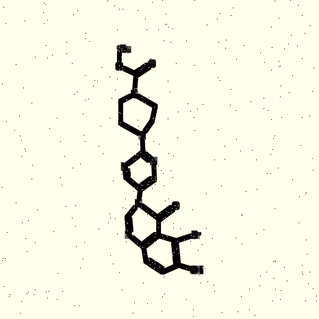 CC(C)(C)OC(=O)N1CCN(c2ncc(-n3cnc4ccc(O)c(Br)c4c3=O)cn2)CC1